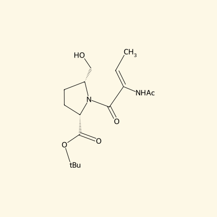 CC=C(NC(C)=O)C(=O)N1[C@@H](CO)CC[C@H]1C(=O)OC(C)(C)C